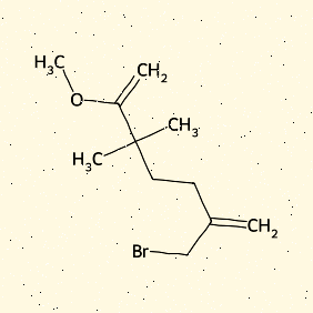 C=C(CBr)CCC(C)(C)C(=C)OC